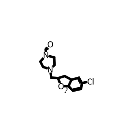 C[C@@]12C=CC(Cl)=CC1CC(CN1CCN(C=O)CC1)O2